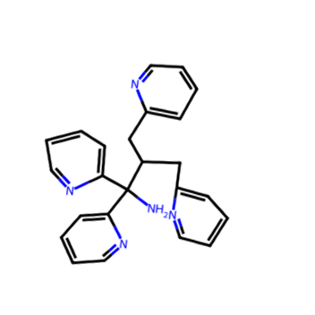 NC(c1ccccn1)(c1ccccn1)C(Cc1ccccn1)Cc1ccccn1